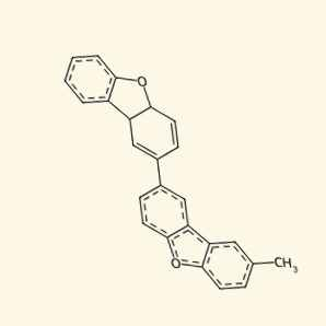 Cc1ccc2oc3ccc(C4=CC5c6ccccc6OC5C=C4)cc3c2c1